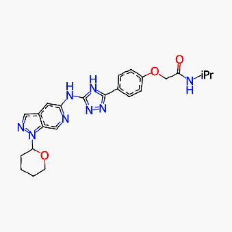 CC(C)NC(=O)COc1ccc(-c2nnc(Nc3cc4cnn(C5CCCCO5)c4cn3)[nH]2)cc1